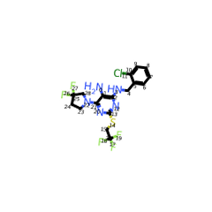 Nc1c(NCc2ccccc2Cl)nc(SCC(F)(F)F)nc1N1CCC(F)(F)C1